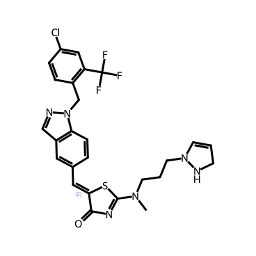 CN(CCCN1C=CCN1)C1=NC(=O)/C(=C/c2ccc3c(cnn3Cc3ccc(Cl)cc3C(F)(F)F)c2)S1